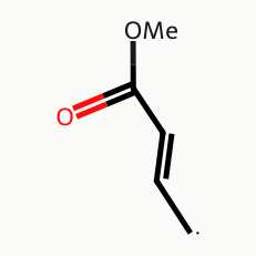 [CH2]/C=C/C(=O)OC